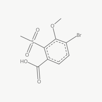 COc1c(Br)ccc(C(=O)O)c1S(C)(=O)=O